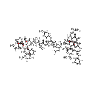 CC(C)C[C@H](NC(=O)[C@H](Cc1ccc(O)cc1)NC(=O)[C@H](CO)NC(=O)[C@H](CO)NC(=O)[C@@H](NC(=O)[C@H](CC(=O)O)NC(=O)[C@H](CO)NC(=O)[C@@H](NC(=O)[C@H](Cc1ccccc1)NC(=O)[C@@H](N)[C@@H](C)O)[C@@H](C)O)C(C)C)C(=O)N[C@@H](CCC(=O)O)C(=O)NCC(=O)N[C@@H](CCC(N)=O)C(=O)N[C@@H](C)C(=O)N[C@@H](C)C(=O)N(C(=O)OCc1ccccc1)[C@@H](CCC(=O)O)C(=O)c1ccccc1